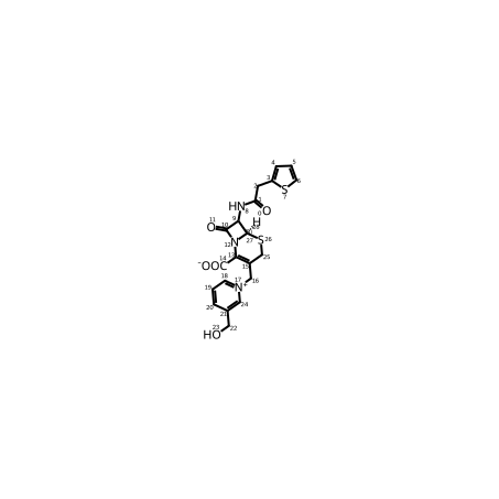 O=C(Cc1cccs1)NC1C(=O)N2C(C(=O)[O-])=C(C[n+]3cccc(CO)c3)CS[C@H]12